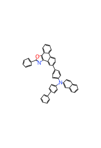 c1ccc(-c2ccc(N(c3ccc(-c4ccc5c6ccccc6c6oc(-c7ccccc7)nc6c5c4)cc3)c3ccc4ccccc4c3)cc2)cc1